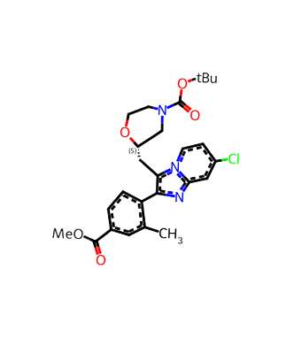 COC(=O)c1ccc(-c2nc3cc(Cl)ccn3c2C[C@H]2CN(C(=O)OC(C)(C)C)CCO2)c(C)c1